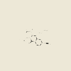 CCCCOc1c(N(C)C(=O)O)n(CC(C)(C)C)c(=O)c2ccc(C#N)cc12